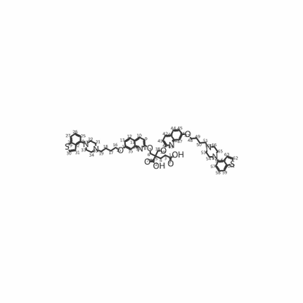 O=C(O)CCC(COc1ccc2ccc(OCCCCN3CCN(c4cccc5sccc45)CC3)cc2n1)(COc1ccc2ccc(OCCCCN3CCN(c4cccc5sccc45)CC3)cc2n1)C(=O)O